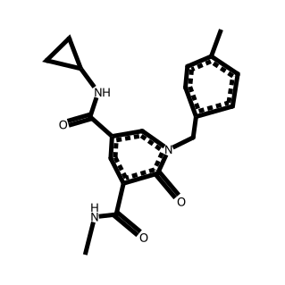 CNC(=O)c1cc(C(=O)NC2CC2)cn(Cc2ccc(C)cc2)c1=O